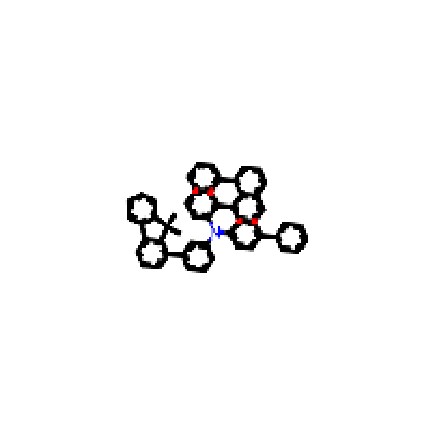 CC1(C)c2ccccc2-c2cccc(-c3cccc(N(c4ccc(-c5ccccc5)cc4)c4ccccc4-c4cccc5cccc(-c6ccccc6)c45)c3)c21